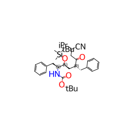 CC(C)C(C#N)CC(=O)[C@H](Cc1ccccc1)C[C@H](O[Si](C)(C)C(C)(C)C)[C@H](Cc1ccccc1)NC(=O)OC(C)(C)C